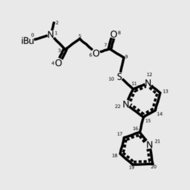 CCC(C)N(C)C(=O)COC(=O)CSc1nccc(-c2ccccn2)n1